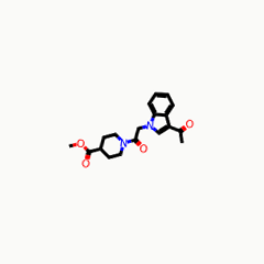 COC(=O)C1CCN(C(=O)Cn2cc(C(C)=O)c3ccccc32)CC1